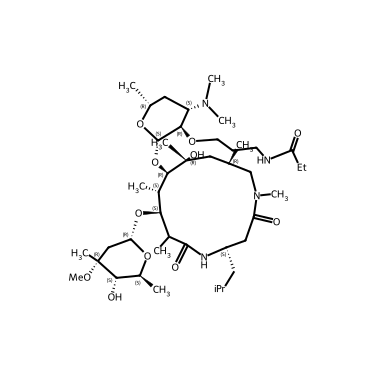 CCC(=O)NCCCO[C@H]1[C@H](O[C@@H]2[C@@H](C)[C@H](O[C@H]3C[C@@](C)(OC)[C@@H](O)[C@H](C)O3)C(C)C(=O)N[C@@H](CC(C)C)CC(=O)N(C)C[C@H](C)C[C@@]2(C)O)O[C@H](C)C[C@@H]1N(C)C